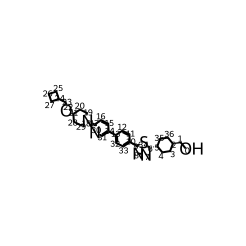 OC[C@H]1CC[C@H](c2nnc(-c3ccc(-c4ccc(N5CCC(OCC6CCC6)CC5)nc4)cc3)s2)CC1